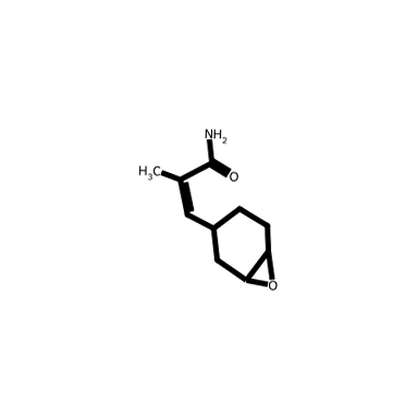 CC(=CC1CCC2OC2C1)C(N)=O